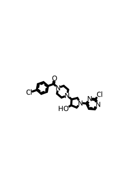 O=C(c1ccc(Cl)cc1)N1CCN(C2CN(c3ccnc(Cl)n3)CC2O)CC1